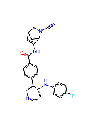 N#CN1CC2C=C(NC(=O)c3ccc(-c4cnccc4Nc4ccc(F)cc4)cc3)C1C2